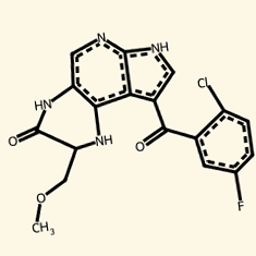 COCC1Nc2c(cnc3[nH]cc(C(=O)c4cc(F)ccc4Cl)c23)NC1=O